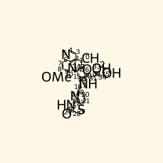 C=C(c1ccnc2ccc(OC)nc12)[C@@H]1CC[C@@H](NCc2ccc3c(n2)NC(=O)CS3)[C@@H](C[C@H](O)CO)O1